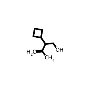 C=C(C)C(CO)C1CCC1